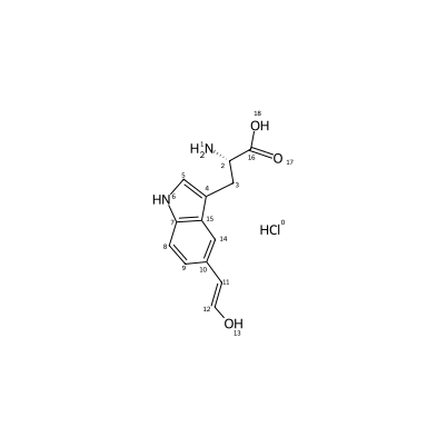 Cl.N[C@@H](Cc1c[nH]c2ccc(C=CO)cc12)C(=O)O